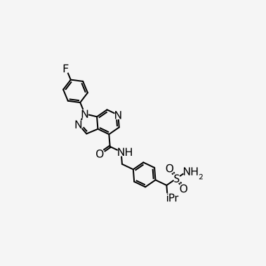 CC(C)C(c1ccc(CNC(=O)c2cncc3c2cnn3-c2ccc(F)cc2)cc1)S(N)(=O)=O